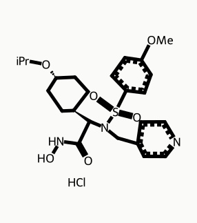 COc1ccc(S(=O)(=O)N(Cc2ccncc2)C(C(=O)NO)[C@H]2CC[C@H](OC(C)C)CC2)cc1.Cl